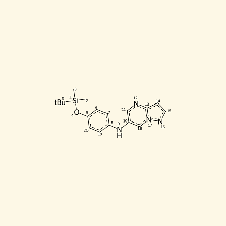 CC(C)(C)[Si](C)(C)Oc1ccc(Nc2cnc3ccnn3c2)cc1